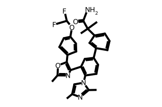 Cc1cn(-c2ccc(-c3cccc(C(C)(C)C(N)=O)c3)cc2-c2nc(C)oc2-c2ccc(OC(F)F)cc2)c(C)n1